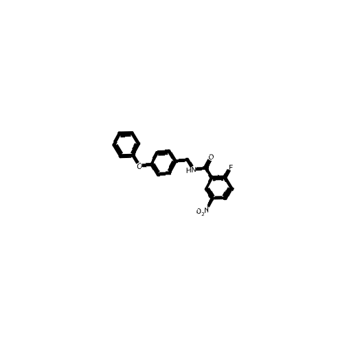 O=C(NCc1ccc(Oc2ccccc2)cc1)c1cc([N+](=O)[O-])ccc1F